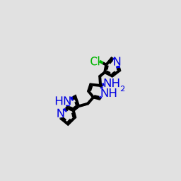 NC1(Cc2ccncc2Cl)C=CC(Cc2c[nH]c3ncccc23)=CN1